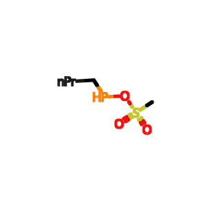 CCCCPOS(C)(=O)=O